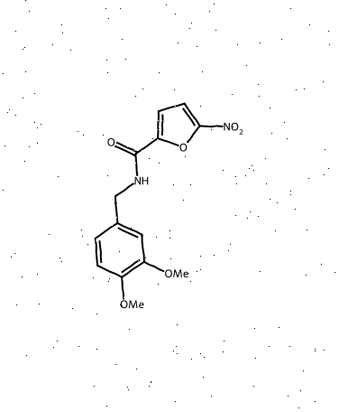 COc1ccc(CNC(=O)c2ccc([N+](=O)[O-])o2)cc1OC